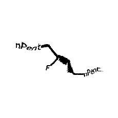 CCCCCCC=C(F)CCCCCC